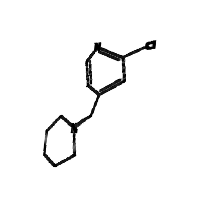 Clc1cc(CN2CCCCC2)ccn1